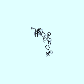 CCOc1cc(NC(=O)NCC2CC2)c(Cl)cc1C(=O)N1CCN(Cc2cccc(C(=O)N=C(C)C)c2)CC1